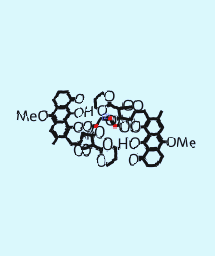 COc1c2c(c(O)c3c4c(c(C)cc13)C1OC3(C5OCCCO5)OC1[C@@](OC/C=C\CO[C@@]15Oc6c(c(C)cc7c(OC)c8c(c(O)c67)C(=O)CCC8)C6OC(C7OCCCO7)(OC61)[C@]51CO1)(O4)[C@@]31CO1)C(=O)CCC2